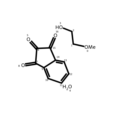 COCCO.O.O=c1c(=O)c2ccccc2c1=O